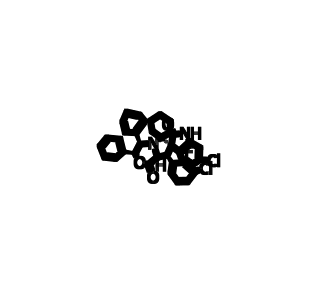 O=C1O[C@@H](c2ccccc2)[C@@H](c2ccccc2)N2[C@@H]1[C@H](c1cccc(Cl)c1F)[C@]1(C(=O)Nc3cc(Cl)ccc31)C21CCCCC1